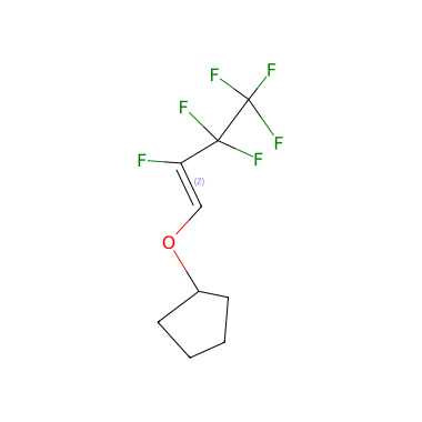 F/C(=C\OC1CCCC1)C(F)(F)C(F)(F)F